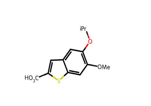 COc1cc2sc(C(=O)O)cc2cc1OC(C)C